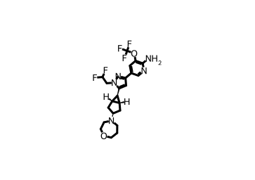 Nc1ncc(-c2cc([C@H]3[C@@H]4C[C@H](N5CCCOCC5)C[C@@H]43)n(CC(F)F)n2)cc1OC(F)(F)F